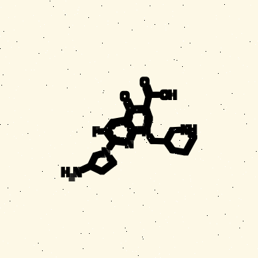 NC1CCN(c2nc3c(cc2F)c(=O)c(C(=O)O)cn3CC2CCCNC2)C1